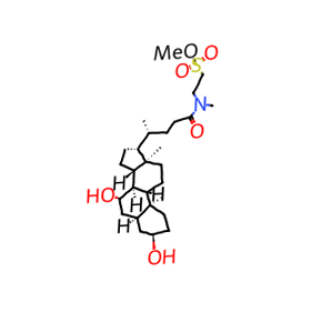 COS(=O)(=O)CCN(C)C(=O)CC[C@@H](C)[C@H]1CC[C@H]2[C@@H]3[C@H](O)C[C@@H]4C[C@H](O)CC[C@]4(C)[C@H]3CC[C@]12C